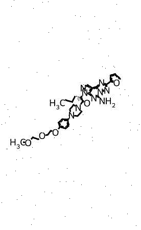 CCCC[C@@H](C(=O)N1CCN(c2ccc(OCCOCCOC)cc2)CC1)n1ncc2c1nc(N)n1nc(-c3ccco3)nc21